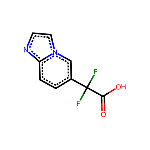 O=C(O)C(F)(F)c1ccc2nccn2c1